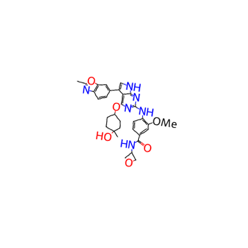 COc1cc(C(=O)NC2COC2)ccc1Nc1nc(OC2CCC(C)(O)CC2)c2c(-c3ccc4nc(C)oc4c3)c[nH]c2n1